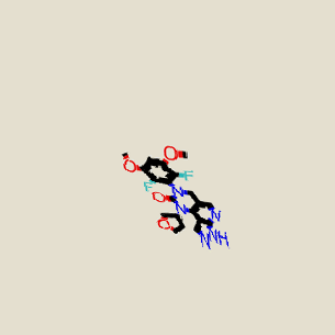 COc1cc(OC)c(F)c(N2Cc3cnc4[nH]ncc4c3N([C@@H]3CCOC3)C2=O)c1F